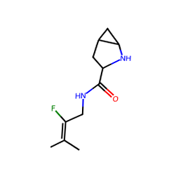 CC(C)=C(F)CNC(=O)C1CC2CC2N1